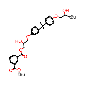 CC(C)(C)OC(=O)c1cccc(C(=O)OCC(O)COc2ccc(C(C)(C)c3ccc(OCC(O)C(C)(C)C)cc3)cc2)c1